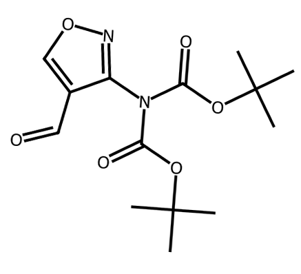 CC(C)(C)OC(=O)N(C(=O)OC(C)(C)C)c1nocc1C=O